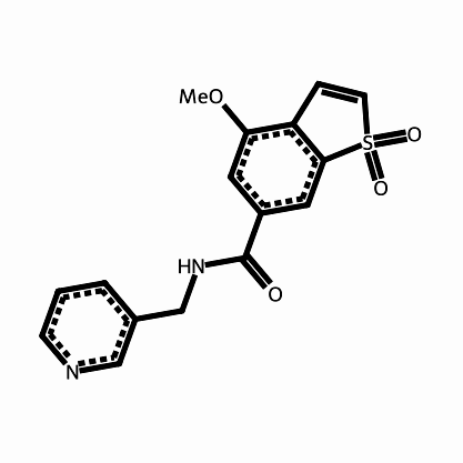 COc1cc(C(=O)NCc2cccnc2)cc2c1C=CS2(=O)=O